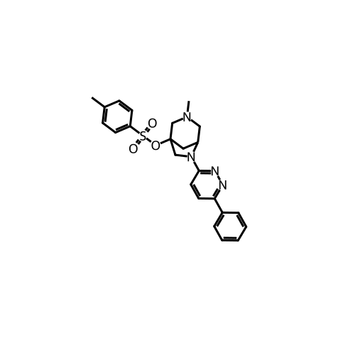 Cc1ccc(S(=O)(=O)OC23CC(CN(C)C2)N(c2ccc(-c4ccccc4)nn2)C3)cc1